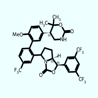 COc1ccc([C@H]2CNC(=O)OC2(C)C)cc1-c1ccc(C(F)(F)F)cc1C1CC[C@H]2[C@@H](c3cc(C(F)(F)F)cc(C(F)(F)F)c3)OC(=O)N12